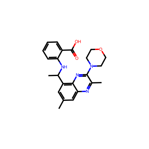 Cc1cc(C(C)Nc2ccccc2C(=O)O)c2nc(N3CCOCC3)c(C)nc2c1